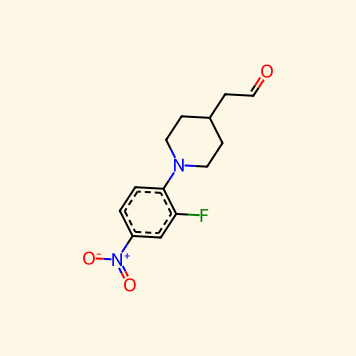 O=CCC1CCN(c2ccc([N+](=O)[O-])cc2F)CC1